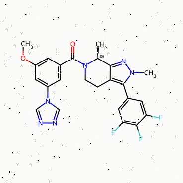 COc1cc(C(=O)N2CCc3c(nn(C)c3-c3cc(F)c(F)c(F)c3)[C@@H]2C)cc(-n2cnnc2)c1